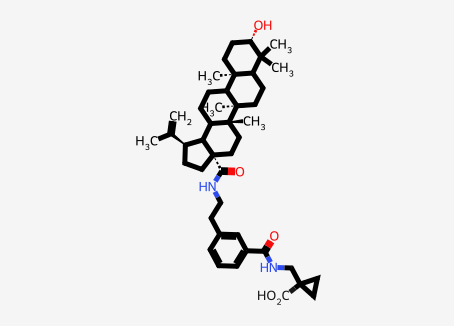 C=C(C)[C@@H]1CC[C@]2(C(=O)NCCc3cccc(C(=O)NCC4(C(=O)O)CC4)c3)CC[C@]3(C)C(CCC4[C@@]5(C)CC[C@H](O)C(C)(C)C5CC[C@]43C)C12